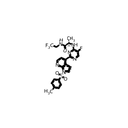 Cc1ccc(S(=O)(=O)n2ccc3c(-c4ncc(F)c(N[C@@H](C)C(=O)NCC(F)(F)F)n4)ccnc32)cc1